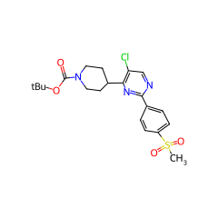 CC(C)(C)OC(=O)N1CCC(c2nc(-c3ccc(S(C)(=O)=O)cc3)ncc2Cl)CC1